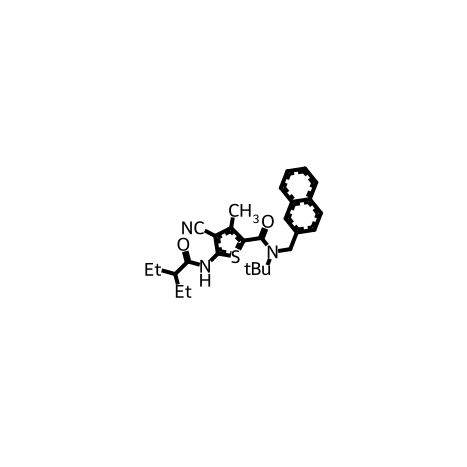 CCC(CC)C(=O)Nc1sc(C(=O)N(Cc2ccc3ccccc3c2)C(C)(C)C)c(C)c1C#N